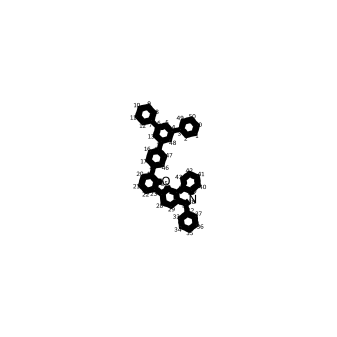 c1ccc(-c2cc(-c3ccccc3)cc(-c3ccc(-c4cccc5c4oc4c5ccc5c(-c6ccccc6)nc6ccccc6c54)cc3)c2)cc1